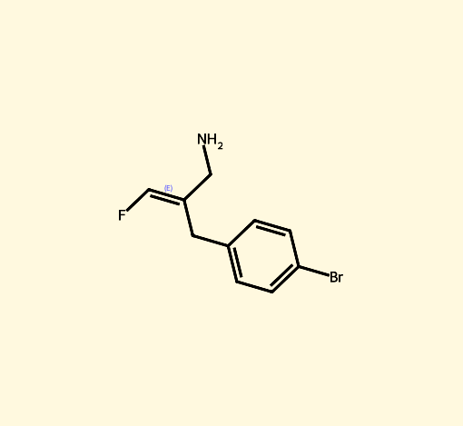 NC/C(=C/F)Cc1ccc(Br)cc1